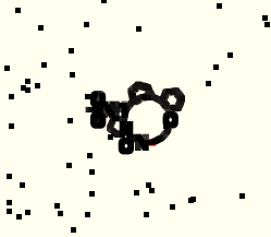 CS(=O)(=O)NC1CCN2C(=O)N3CC(COc4ccccc4-c4cccc(c4)CC12)C3